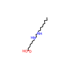 CCCCCCCCCNCCNCCCCCCC(=O)O